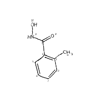 Cc1[c]cccc1C(=O)NO